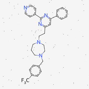 FC(F)(F)c1ccc(CN2CCCN(CCc3cc(-c4ccccc4)nc(-c4ccncc4)n3)CC2)cc1